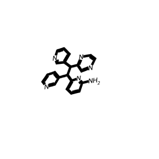 Nc1cccc(C(c2cccnc2)C(c2cccnc2)c2cnccn2)n1